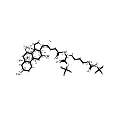 C[C@H](CCC(=O)N[C@@H](CCCCNC(=O)OC(C)(C)C)C(=O)OC(C)(C)C)[C@H]1CC[C@H]2[C@@H]3[C@H](O)C[C@@H]4C[C@H](O)CC[C@]4(C)[C@H]3C[C@H](O)[C@]12C